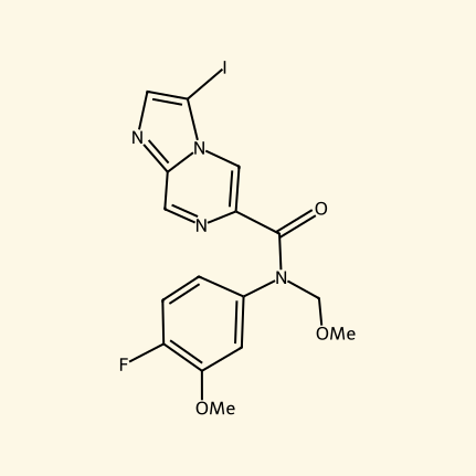 COCN(C(=O)c1cn2c(I)cnc2cn1)c1ccc(F)c(OC)c1